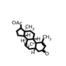 CC(=O)OC1CC[C@H]2[C@@H]3CC[C@H]4CC(=O)C=C(C)[C@]4(C)[C@H]3CC[C@]12C